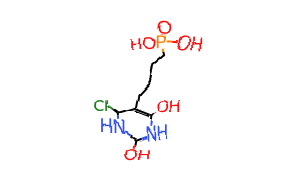 O=P(O)(O)CCCCC1=C(O)NC(O)NC1Cl